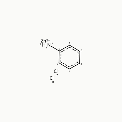 Nc1ccccc1.[Cl-].[Cl-].[Zn+2]